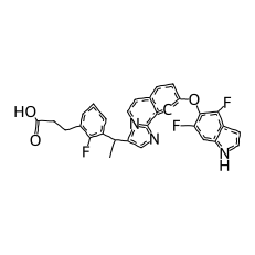 CC(c1cccc(CCC(=O)O)c1F)c1cnc2c3cc(Oc4c(F)cc5[nH]ccc5c4F)ccc3ccn12